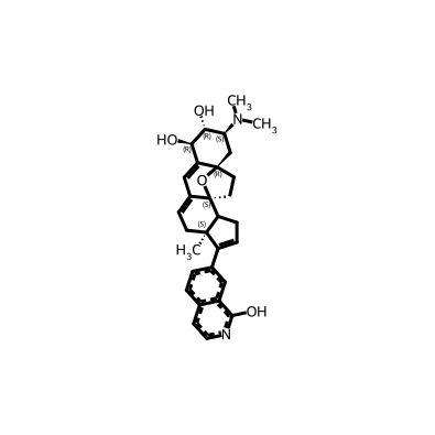 CN(C)[C@H]1C[C@@]23CC[C@@]4(O2)C(=CC[C@]2(C)C(c5ccc6ccnc(O)c6c5)=CCC24)C=C3[C@@H](O)[C@@H]1O